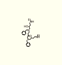 CCNCC[C@H](O)CN(CCCCN(Cc1ccccc1)C[C@@H](O)CCNCC)Cc1ccccc1